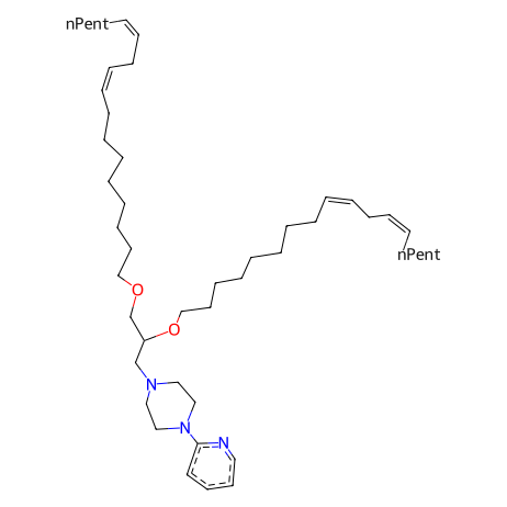 CCCCC/C=C\C/C=C\CCCCCCCCOCC(CN1CCN(c2ccccn2)CC1)OCCCCCCCC/C=C\C/C=C\CCCCC